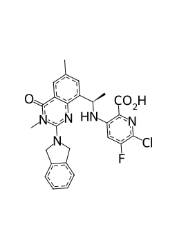 Cc1cc([C@@H](C)Nc2cc(F)c(Cl)nc2C(=O)O)c2nc(N3Cc4ccccc4C3)n(C)c(=O)c2c1